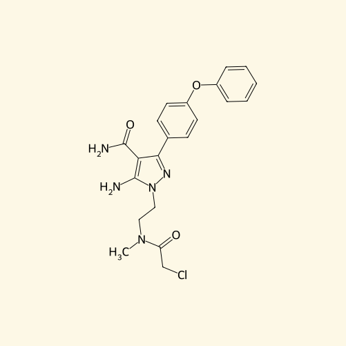 CN(CCn1nc(-c2ccc(Oc3ccccc3)cc2)c(C(N)=O)c1N)C(=O)CCl